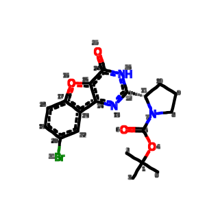 CC(C)(C)OC(=O)N1CCC[C@H]1c1nc2c(oc3ccc(Br)cc32)c(=O)[nH]1